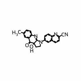 Cc1ccc2c(c1)C(=O)C1(O)CCN(c3ccc4nc(C#N)ccc4c3)C1=N2